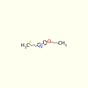 CCCCCCOc1ccc(-c2ccc(CCCC(C)F)cn2)cc1